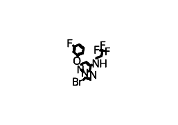 Fc1cccc(Oc2cc(NCCC(F)(F)F)c3ncc(Br)n3n2)c1